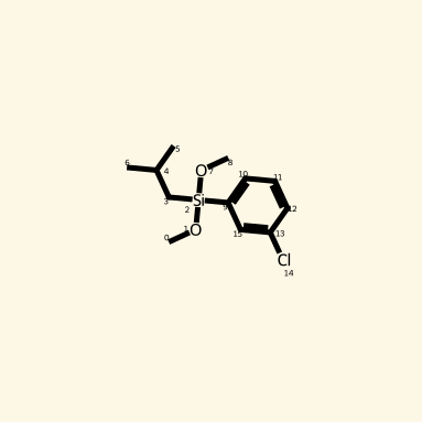 CO[Si](CC(C)C)(OC)c1cccc(Cl)c1